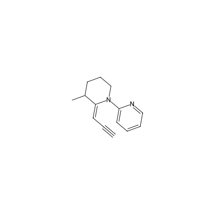 C#CC=C1C(C)CCCN1c1ccccn1